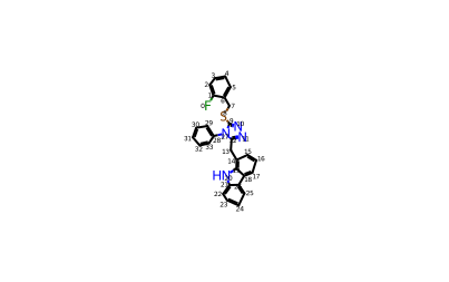 Fc1ccccc1CSc1nnc(Cc2cccc3c2[nH]c2ccccc23)n1-c1ccccc1